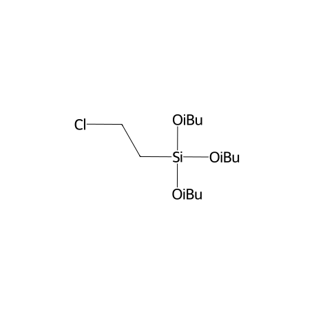 CC(C)CO[Si](CCCl)(OCC(C)C)OCC(C)C